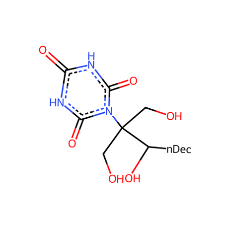 CCCCCCCCCCC(O)C(CO)(CO)n1c(=O)[nH]c(=O)[nH]c1=O